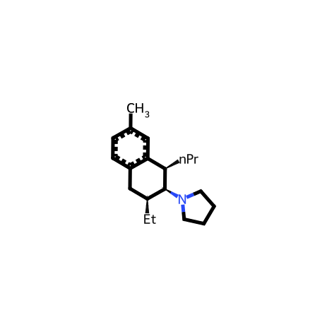 CCC[C@@H]1c2cc(C)ccc2C[C@H](CC)[C@@H]1N1CCCC1